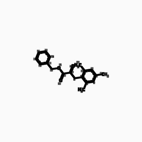 Cc1cc(C)c(CC(=O)C(=O)OCc2ccccc2)c(C)c1